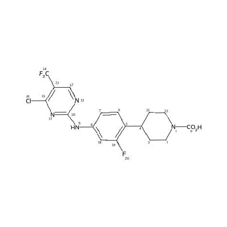 O=C(O)N1CCC(c2ccc(Nc3ncc(C(F)(F)F)c(Cl)n3)cc2F)CC1